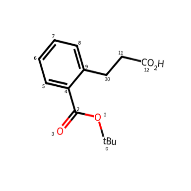 CC(C)(C)OC(=O)c1ccccc1CCC(=O)O